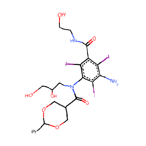 CC(C)C1OCC(C(=O)N(CC(O)CO)c2c(I)c(N)c(I)c(C(=O)NCCO)c2I)CO1